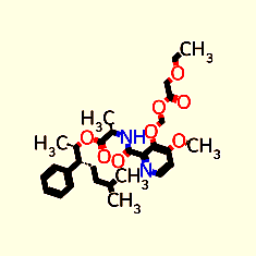 CCOCC(=O)OCOc1c(OC)ccnc1C(=O)N[C@@H](C)C(=O)O[C@@H](C)[C@H](CCC(C)C)c1ccccc1